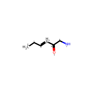 [CH2]CC=[SiH]C(=O)C[NH]